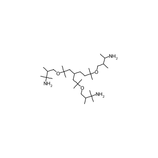 CC(N)C(C)COC(C)(C)CCC(CC(C)(C)OCC(C)C(C)(C)N)CC(C)(C)OCC(C)C(C)(C)N